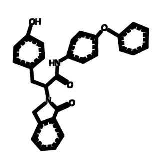 O=C(Nc1ccc(Oc2ccccc2)cc1)C(Cc1ccc(O)cc1)N1Cc2ccccc2C1=O